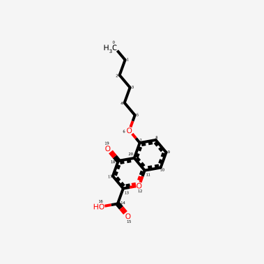 CCCCCCOc1cccc2oc(C(=O)O)cc(=O)c12